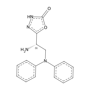 N[C@@H](CN(c1ccccc1)c1ccccc1)c1n[nH]c(=O)o1